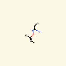 C/C=C(\O/N=C(\N)CC(C)C)C(C)(C)C